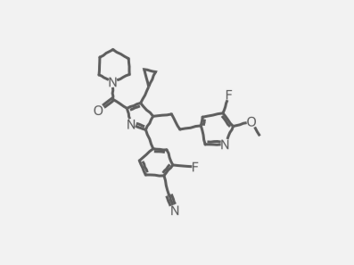 COc1ncc(CCC2C(c3ccc(C#N)c(F)c3)=NC(C(=O)N3CCCCC3)=C2C2CC2)cc1F